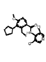 COc1ccc(C(=O)Nc2c(Cl)cncc2Cl)c(CF)c1C1CCCC1